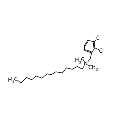 CCCCCCCCCCCCCC[N+](C)(C)Cc1cccc(Cl)c1Cl